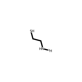 [2H]NCCS